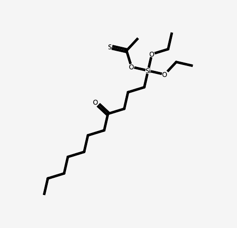 CCCCCCCC(=O)CCC[Si](OCC)(OCC)OC(C)=S